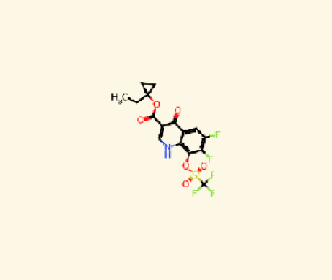 CCC1(OC(=O)c2c[nH]c3c(OS(=O)(=O)C(F)(F)F)c(F)c(F)cc3c2=O)CC1